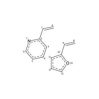 C=Cc1ccccn1.C=Cc1ccco1